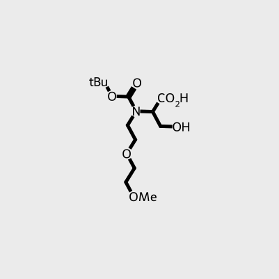 COCCOCCN(C(=O)OC(C)(C)C)C(CO)C(=O)O